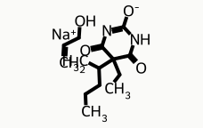 C=CCO.CCCC(C)C1(CC)C(=O)N=C([O-])NC1=O.[Na+]